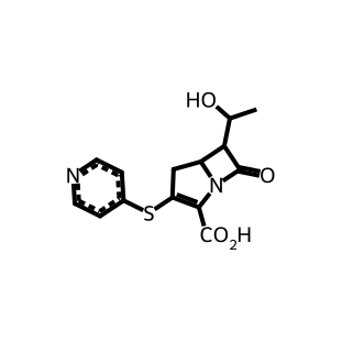 CC(O)C1C(=O)N2C(C(=O)O)=C(Sc3ccncc3)CC12